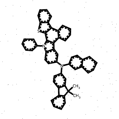 CC1(C)c2ccccc2-c2ccc(N(c3ccc4ccccc4c3)c3ccc4c(c3)c3c5ccccc5c5c6ccccc6sc5c3n4-c3ccccc3)cc21